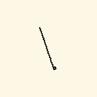 CCCCCCCCCCCCCCCCCCCCCCCCCCCCCCCCCCCCc1cc[c]cc1